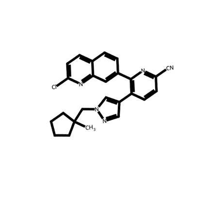 CC1(Cn2cc(-c3ccc(C#N)nc3-c3ccc4ccc(Cl)nc4c3)cn2)CCCC1